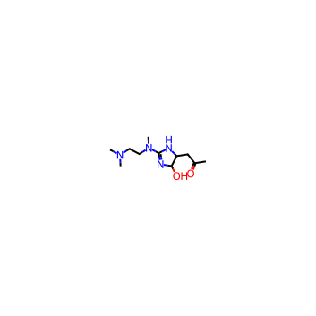 CC(=O)CC1NC(N(C)CCN(C)C)=NC1O